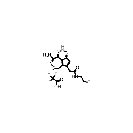 NC1=NSCc2c(CC(=O)NCCF)cc3n[nH]nc1c2-3.O=C(O)C(F)(F)F